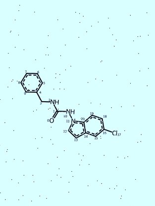 O=C(NCc1ccccc1)Nn1ccc2cc(Cl)ccc21